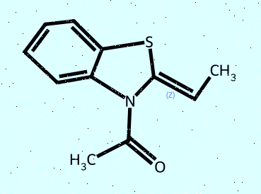 C/C=C1\Sc2ccccc2N1C(C)=O